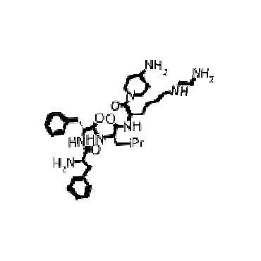 CC(C)C[C@@H](NC(=O)[C@@H](Cc1ccccc1)NC(=O)[C@H](N)Cc1ccccc1)C(=O)N[C@H](CCCCNCCN)C(=O)N1CCC(N)CC1